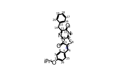 CC(C)Oc1ccc(/C=c2/sc3nc(=O)c(Cc4ccccc4)nn3c2=O)cc1